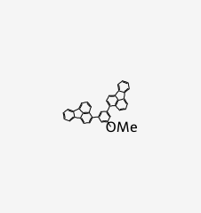 COc1cc(-c2ccc3c4c(cccc24)-c2ccccc2-3)cc(-c2ccc3c4c(cccc24)-c2ccccc2-3)c1